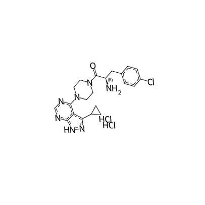 Cl.Cl.N[C@H](Cc1ccc(Cl)cc1)C(=O)N1CCN(c2ncnc3[nH]nc(C4CC4)c23)CC1